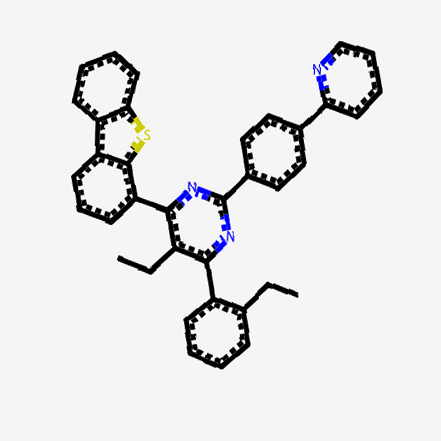 CCc1ccccc1-c1nc(-c2ccc(-c3ccccn3)cc2)nc(-c2cccc3c2sc2ccccc23)c1CC